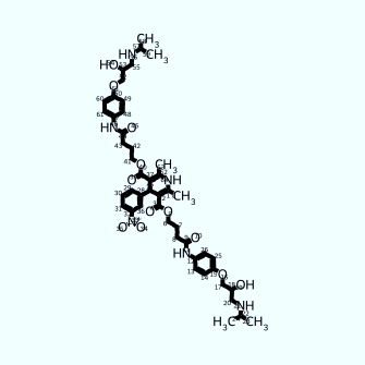 CC1=C(C(=O)OCCCC(=O)Nc2ccc(OCC(O)CNC(C)C)cc2)C(c2cccc([N+](=O)[O-])c2)C(C(=O)OCCCC(=O)Nc2ccc(OCC(O)CNC(C)C)cc2)=C(C)N1